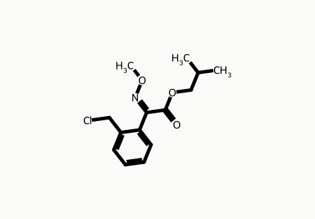 CON=C(C(=O)OCC(C)C)c1ccccc1CCl